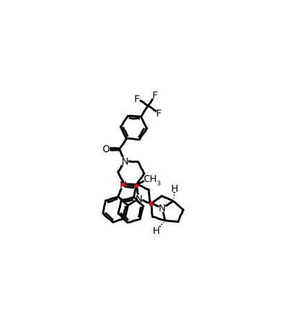 Cc1nc2ccccc2n1C1C[C@H]2CC[C@@H](C1)N2CCC1(c2ccccc2)CCN(C(=O)c2ccc(C(F)(F)F)cc2)CC1